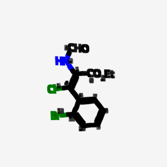 CCOC(=O)/C(NC=O)=C(/Cl)c1ccccc1Br